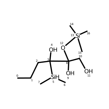 CCCC(O)([SiH](C)C)C(O)(CO)O[Si](C)(C)C